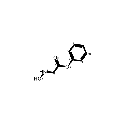 O=C(CNO)Oc1ccccc1